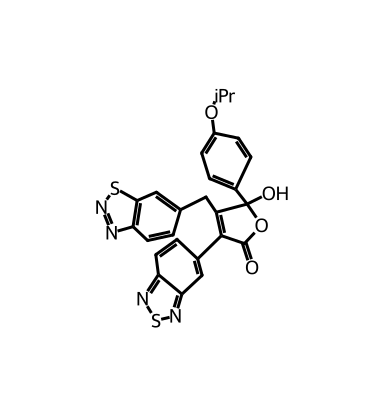 CC(C)Oc1ccc(C2(O)OC(=O)C(c3ccc4nsnc4c3)=C2Cc2ccc3nnsc3c2)cc1